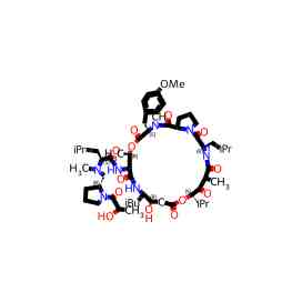 CCC(C)C1NC(=O)C(NC(=O)[C@H](CC(C)C)N(C)C[C@H]2CCCN2C(=O)C(C)O)[C@@H](C)OC(=O)[C@H](Cc2ccc(OC)cc2)N(C)C(=O)C2CCCN2C(=O)[C@@H](CC(C)C)NC(=O)C(C)C(=O)[C@H](C(C)C)OC(=O)C[C@H]1O